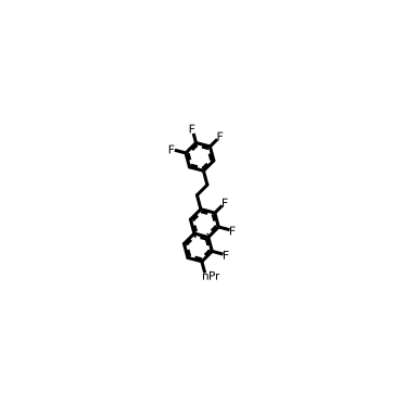 CCCc1ccc2cc(CCc3cc(F)c(F)c(F)c3)c(F)c(F)c2c1F